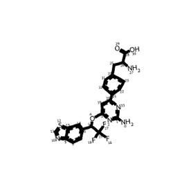 Nc1nc(OC(c2ccc3ncsc3c2)C(F)(F)F)cc(-c2ccc(CC(N)C(=O)O)cc2)n1